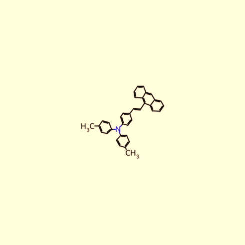 Cc1ccc(N(c2ccc(C)cc2)c2ccc(C=Cc3c4ccccc4cc4ccccc34)cc2)cc1